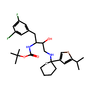 CC(C)c1cc(C2(NCC(O)C(Cc3cc(F)cc(F)c3)NC(=O)OC(C)(C)C)CCCCC2)cs1